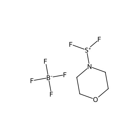 F[B-](F)(F)F.F[S+](F)N1CCOCC1